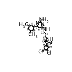 Cc1cc(C)cc(-c2cc(NCCCNS(=O)(=O)c3cc(Cl)c(Cl)s3)nc(N)n2)c1